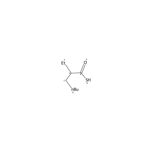 CCCCCC(CC)C(=O)S